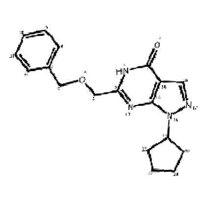 O=c1[nH]c(COCc2ccccc2)nc2c1cnn2C1CCCC1